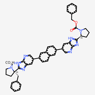 O=C(OCc1ccccc1)N1CCC[C@H]1c1nc2ncc(-c3ccc4cc(-c5cnc6[nH]c([C@@]7(Cc8ccccc8)CCCN7C(=O)O)nc6c5)ccc4c3)cc2[nH]1